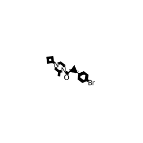 CC1CN(C2CCC2)CCN1C(=O)[C@H]1C[C@@H]1c1ccc(Br)cc1